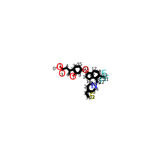 COC(=O)CC1COc2cc(O[C@@H]3CCc4c3ccc(C(F)(F)F)c4CN3CCc4ccsc4C3)ccc21